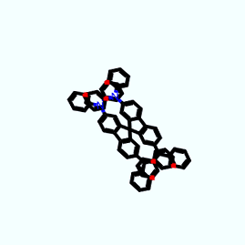 c1ccc(C(c2ccccc2)c2ccc3c(c2)C2(c4cc(C(c5ccccc5)c5ccccc5)ccc4-c4ccc(N(c5ccccc5)c5ccccc5)cc42)c2cc(N(c4ccccc4)c4ccccc4)ccc2-3)cc1